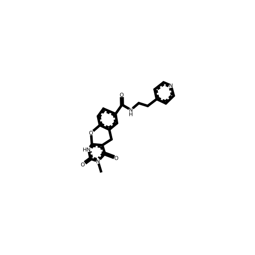 Cn1c(=O)[nH]c2c(c1=O)Cc1cc(C(=O)NCCc3ccncc3)ccc1O2